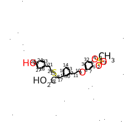 CS(=O)(=O)Oc1ccc(OCCc2cccc(CC(SCCc3ccc(O)cc3)C(=O)O)c2)cc1